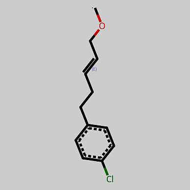 [CH2]OC/C=C/CCc1ccc(Cl)cc1